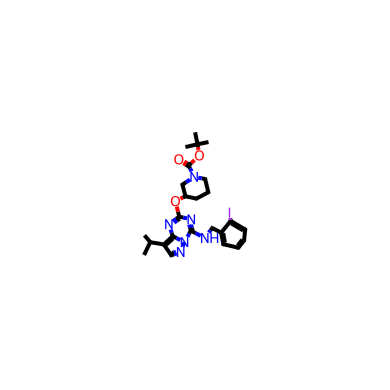 CC(C)c1cnn2c(NCc3ccccc3I)nc(OC3CCCN(C(=O)OC(C)(C)C)C3)nc12